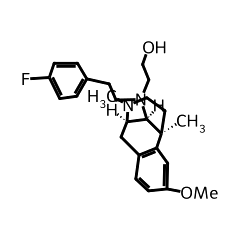 COc1ccc2c(c1)[C@]1(C)CCN(C)[C@H](C2)[C@H]1N(CCO)CCc1ccc(F)cc1